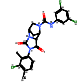 Cc1c(N2C(=O)C3C4CC(CN4C(=O)Nc4cc(Cl)cc(Cl)c4)N3C2=O)ccc(C#N)c1Cl